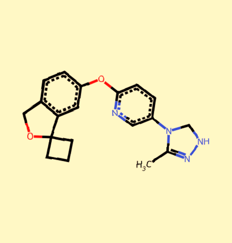 CC1=NNCN1c1ccc(Oc2ccc3c(c2)C2(CCC2)OC3)nc1